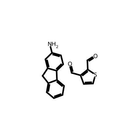 Nc1ccc2c(c1)Cc1ccccc1-2.O=Cc1ccsc1C=O